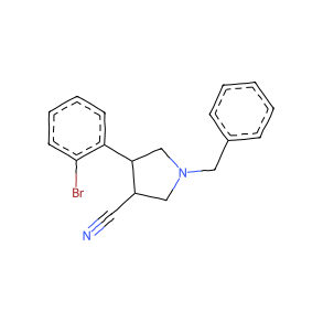 N#CC1CN(Cc2ccccc2)CC1c1ccccc1Br